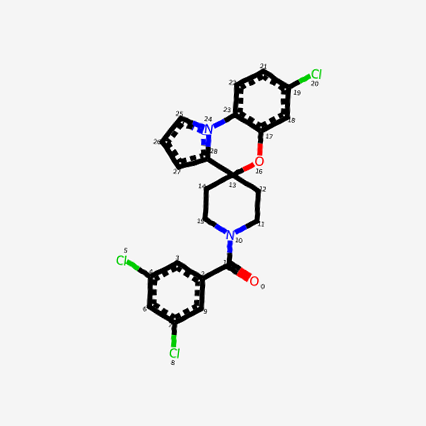 O=C(c1cc(Cl)cc(Cl)c1)N1CCC2(CC1)Oc1cc(Cl)ccc1-n1cccc12